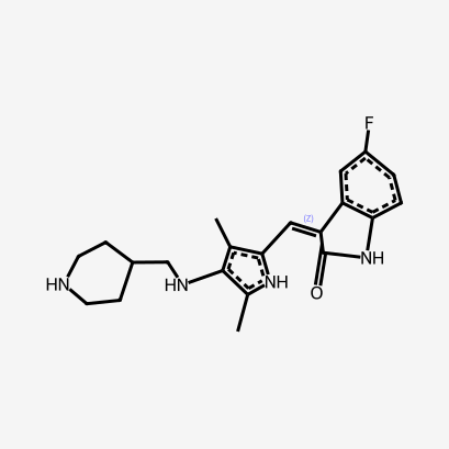 Cc1[nH]c(/C=C2\C(=O)Nc3ccc(F)cc32)c(C)c1NCC1CCNCC1